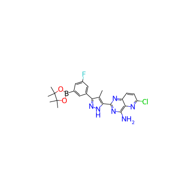 Cc1c(-c2cc(F)cc(B3OC(C)(C)C(C)(C)O3)c2)n[nH]c1-c1nc(N)c2nc(Cl)ccc2n1